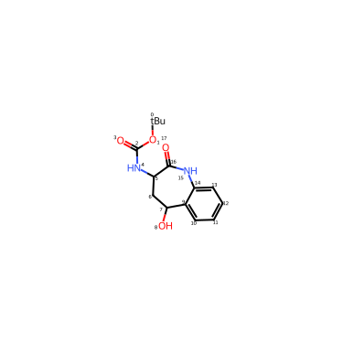 CC(C)(C)OC(=O)NC1CC(O)c2ccccc2NC1=O